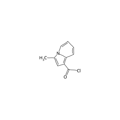 Cc1cc(C(=O)Cl)c2ccccn12